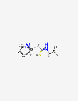 C=C(C)CNC(=S)Cc1ccccn1